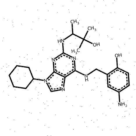 CC(Nc1nc(NCc2cc(N)ccc2O)c2ncn(C3CCCCC3)c2n1)C(C)(C)O